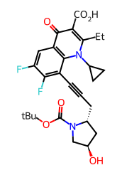 CCc1c(C(=O)O)c(=O)c2cc(F)c(F)c(C#CC[C@@H]3C[C@@H](O)CN3C(=O)OC(C)(C)C)c2n1C1CC1